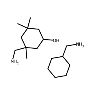 CC1(C)CC(O)CC(C)(CN)C1.NCC1CCCCC1